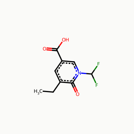 CCc1cc(C(=O)O)cn(C(F)F)c1=O